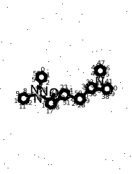 c1ccc(-c2nc(-c3ccccc3)nc(-c3cccc4c3oc3ccc(-c5cccc(-c6ccc7c(c6)c6ccccc6n7-c6ccccc6)c5)cc34)n2)cc1